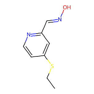 CCSc1ccnc(/C=N/O)c1